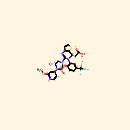 COc1cc(N2[C@H](C)CN(C3=Nc4ccsc4[C@H](CC(=O)O)N3c3cc(C(F)(F)F)ccc3OC)C[C@H]2C)ccn1